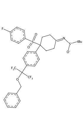 CC(C)(C)[S+]([O-])N=C1CCC(c2ccc(C(OCc3ccccc3)(C(F)(F)F)C(F)(F)F)cc2)(S(=O)(=O)c2ccc(F)cc2)CC1